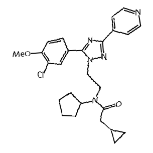 COc1ccc(-c2nc(-c3ccncc3)nn2CCN(C(=O)CC2CC2)C2CCCC2)cc1Cl